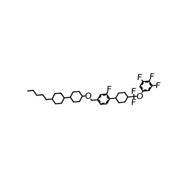 CCCCCC1CCC(C2CCC(OCc3ccc(C4CCC(C(F)(F)Oc5cc(F)c(F)c(F)c5)CC4)c(F)c3)CC2)CC1